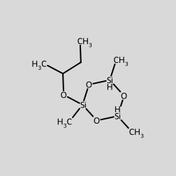 CCC(C)O[Si]1(C)O[SiH](C)O[SiH](C)O1